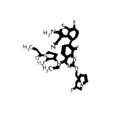 C=CC(=O)N1CCC(N(CC)c2nc(OCC34CCCN3CC(F)C4)nc3c(F)c(-c4ccc(F)c5sc(N)c(C#N)c45)ccc23)C1C